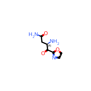 NC(=O)C[C@@H](N)C(=O)c1ncco1